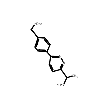 CCCCCCCCCCCc1ccc(-c2ccc(C(C)CCCCCC)nn2)cc1